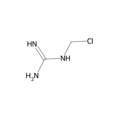 N=C(N)NCCl